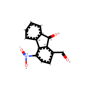 O=Cc1ccc([N+](=O)[O-])c2c1C(=O)c1ccccc1-2